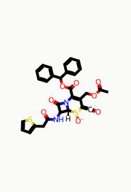 CC(=O)OCC1=C(C(=O)OC(c2ccccc2)c2ccccc2)N2C(=O)C(NC(=O)Cc3cccs3)[C@H]2[S+]([O-])C1=C=O